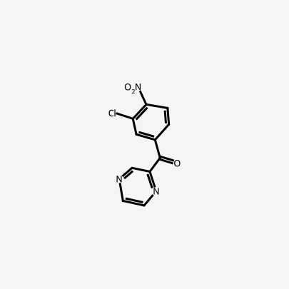 O=C(c1ccc([N+](=O)[O-])c(Cl)c1)c1cnccn1